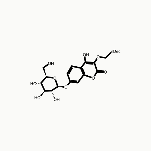 CCCCCCCCCCCOc1c(O)c2ccc(O[C@@H]3O[C@H](CO)[C@@H](O)[C@H](O)[C@H]3O)cc2oc1=O